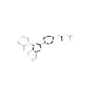 CC(I)NC(=O)Nc1ccc(-c2nc3c(c(N4CCOCC4C)n2)CNCC3)cc1.Cl